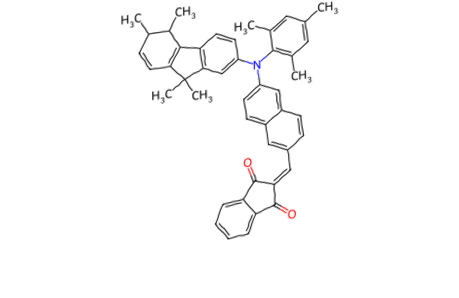 Cc1cc(C)c(N(c2ccc3c(c2)C(C)(C)C2=C3C(C)C(C)C=C2)c2ccc3cc(C=C4C(=O)c5ccccc5C4=O)ccc3c2)c(C)c1